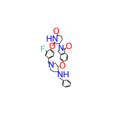 O=C1CCC(N2Cc3cc(O[C@@H]4CN(Cc5cccc(F)c5)CC[C@H]4NCc4ccccc4)ccc3C2=O)C(=O)N1